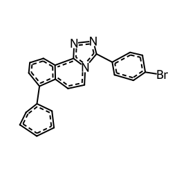 Brc1ccc(-c2nnc3c4cccc(-c5ccccc5)c4ccn23)cc1